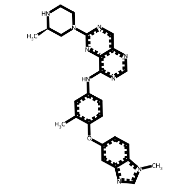 Cc1cc(Nc2ncnc3cnc(N4CCN[C@H](C)C4)nc23)ccc1Oc1ccc2c(c1)ncn2C